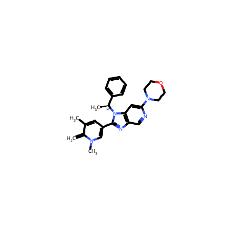 C=C1C(C)=CC(c2nc3cnc(N4CCOCC4)cc3n2[C@@H](C)c2ccccc2)=CN1C